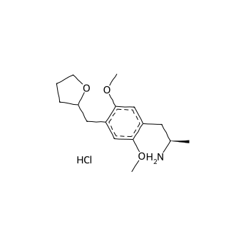 COc1cc(C[C@@H](C)N)c(OC)cc1CC1CCCO1.Cl